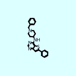 c1ccc(CN2CCC(Nc3ncnc4cc(-c5ccccc5)sc34)CC2)cc1